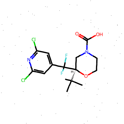 CC(C)(C)[C@]1(C(F)(F)c2cc(Cl)nc(Cl)c2)CN(C(=O)O)CCO1